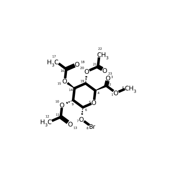 COC(=O)[C@H]1O[C@H](OBr)[C@H](OC(C)=O)[C@@H](OC(C)=O)[C@@H]1OC(C)=O